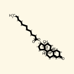 CCCCCCCCCCC(=O)O[C@H]1CC[C@H]2[C@@H]3CCC4=CC(=O)CC[C@@H]4[C@H]3CC[C@]12C